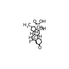 C[C@@H]1C[C@H]2[C@@H]3C[C@H](F)C4=CC(=O)CC[C@]4(C)[C@H]3C[C@H](O)[C@]2(C)[C@H]1C(=O)CO